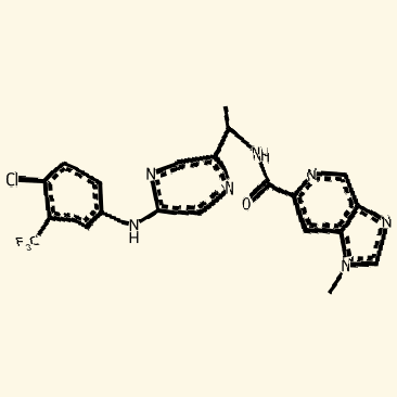 CC(NC(=O)c1cc2c(cn1)ncn2C)c1cnc(Nc2ccc(Cl)c(C(F)(F)F)c2)cn1